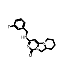 O=c1nc(NCc2cccc(F)c2)cc2n1CC1CCCCN21